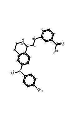 Cc1ccc(N(C)c2ccc3c(c2)CCN[C@H]3CNc2cc(C(=O)O)ccn2)cc1